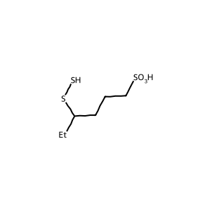 CCC(CCCS(=O)(=O)O)SS